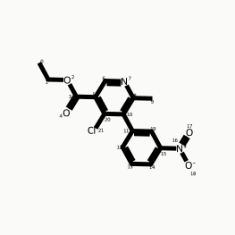 CCOC(=O)c1cnc(C)c(-c2cccc([N+](=O)[O-])c2)c1Cl